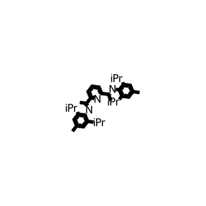 CC(=Nc1c(C(C)C)cc(C)cc1C(C)C)c1cccc(C(C)=Nc2c(C(C)C)cc(C)cc2C(C)C)n1